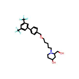 OCC1CC(O)CCN1CCCCCOCc1ccc(-c2cc(C(F)(F)F)cc(C(F)(F)F)c2)cc1